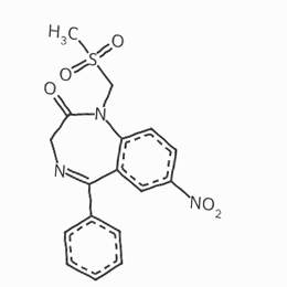 CS(=O)(=O)CN1C(=O)CN=C(c2ccccc2)c2cc([N+](=O)[O-])ccc21